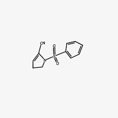 N#CC1=CCCN1S(=O)(=O)c1ccccc1